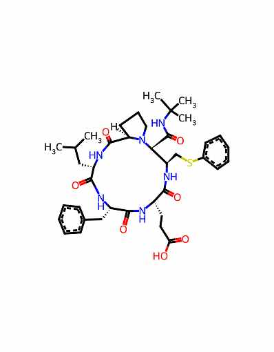 CC(C)C[C@@H]1NC(=O)[C@H]2CCCN2[C@@H](C(=O)NC(C)(C)C)[C@@H](CSc2ccccc2)NC(=O)[C@H](CCC(=O)O)NC(=O)[C@H](Cc2ccccc2)NC1=O